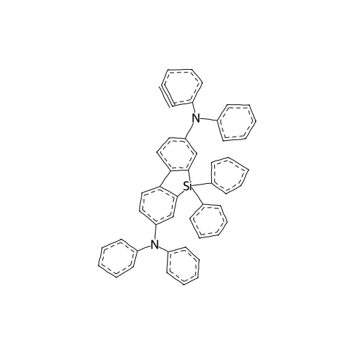 c1cccc(N(c2ccccc2)c2ccc3c(c2)[Si](c2ccccc2)(c2ccccc2)c2cc(N(c4ccccc4)c4ccccc4)ccc2-3)c#1